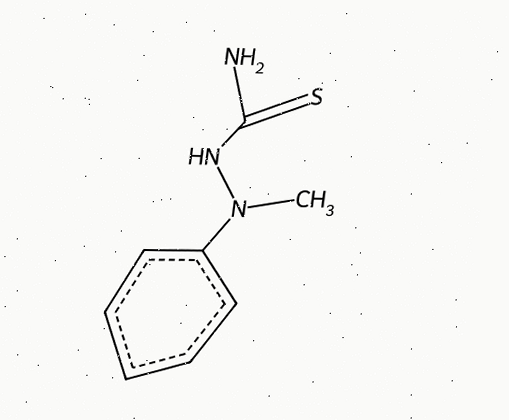 CN(NC(N)=S)c1ccccc1